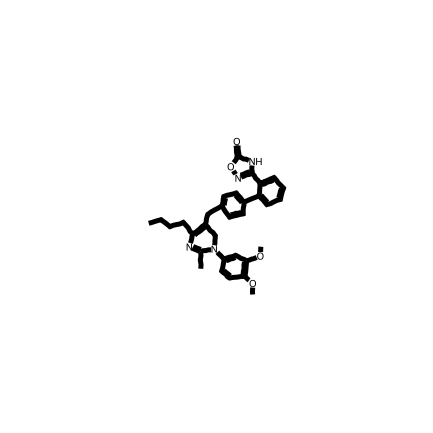 CCCCC1=C(Cc2ccc(-c3ccccc3-c3noc(=O)[nH]3)cc2)CN(c2ccc(OC)c(OC)c2)C(C)=N1